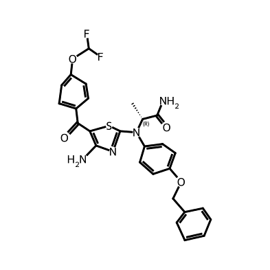 C[C@H](C(N)=O)N(c1ccc(OCc2ccccc2)cc1)c1nc(N)c(C(=O)c2ccc(OC(F)F)cc2)s1